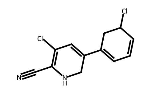 N#CC1=C(Cl)C=C(C2=CC=CC(Cl)C2)CN1